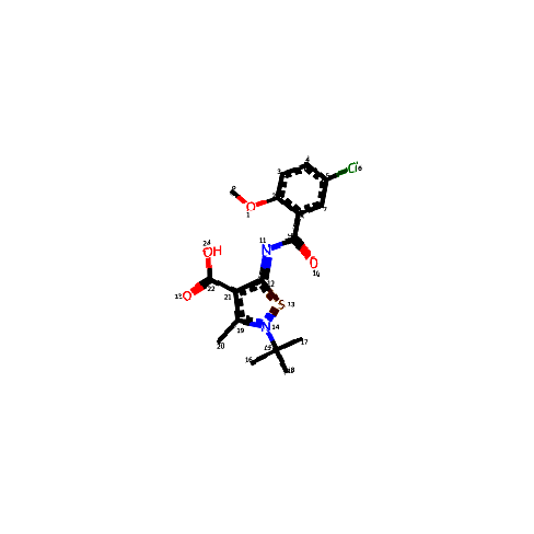 COc1ccc(Cl)cc1C(=O)N=c1sn(C(C)(C)C)c(C)c1C(=O)O